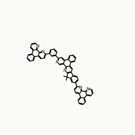 CC1(C)c2cc(-c3ccc4c5ccccc5c5cccnc5c4n3)ccc2-c2cc3c4ccccc4c4cc(-c5cccc(-c6ccc7c8ccccc8c8cccnc8c7n6)c5)ncc4c3nc21